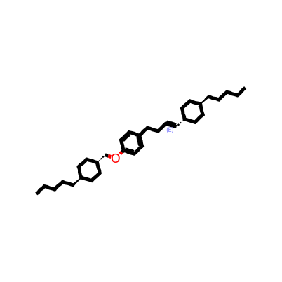 CCCCC[C@H]1CC[C@H](/C=C/CCc2ccc(OC[C@H]3CC[C@H](CCCCC)CC3)cc2)CC1